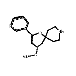 CCOC1CC(c2cccnc2)OC2(CCNCC2)C1